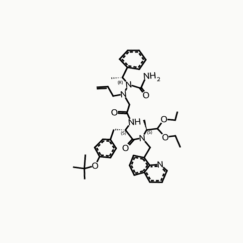 C=CCN(CC(=O)N[C@@H](Cc1ccc(OC(C)(C)C)cc1)C(=O)N(Cc1cccc2cccnc12)[C@@H](C)C(OCC)OCC)N(C(N)=O)[C@H](C)c1ccccc1